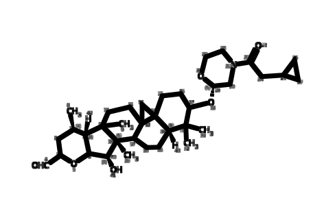 C[C@@H]1CC(C=O)OC2[C@H]1C1(C)CCC34CC35CCC(O[C@H]3CN(C(=O)CC6CC6)CCO3)C(C)(C)[C@@H]5CCC4[C@]1(C)[C@H]2O